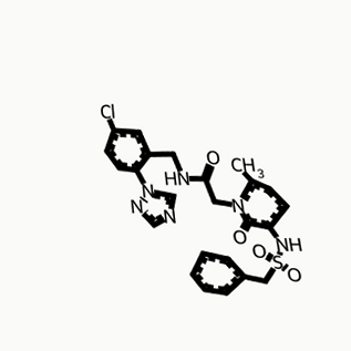 Cc1ccc(NS(=O)(=O)Cc2ccccc2)c(=O)n1CC(=O)NCc1cc(Cl)ccc1-n1cncn1